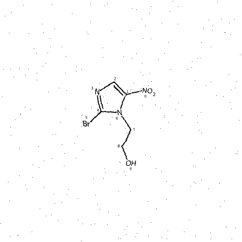 O=[N+]([O-])c1cnc(Br)n1CCO